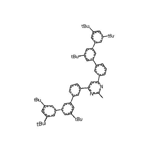 Cc1nc(-c2cccc(-c3cc(-c4cc(C(C)(C)C)cc(C(C)(C)C)c4)cc(C(C)(C)C)c3)c2)cc(-c2cccc(-c3cc(-c4cc(C(C)(C)C)cc(C(C)(C)C)c4)cc(C(C)(C)C)c3)c2)n1